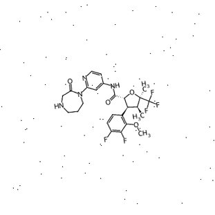 COc1c([C@H]2[C@H](C(=O)Nc3ccnc(N4CCCNCC4=O)c3)O[C@@](C)(C(F)(F)F)[C@H]2C)ccc(F)c1F